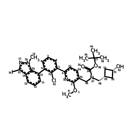 COc1nc(-c2cccc(-c3cccc4c(I)nn(C)c34)c2Cl)ccc1CN(C[C@H]1C[C@@H](O)C1)C(=O)OC(C)(C)C